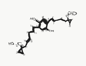 O=COC1(CCCCc2cc(O)c(CCCCCCC3(C(=O)O)CC3)cc2O)CC1